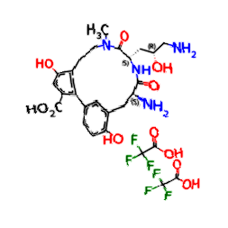 CN1CCc2cc(c(C(=O)O)cc2O)-c2ccc(O)c(c2)C[C@H](N)C(=O)N[C@@H](C[C@@H](O)CN)C1=O.O=C(O)C(F)(F)F.O=C(O)C(F)(F)F